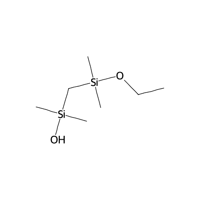 CCO[Si](C)(C)C[Si](C)(C)O